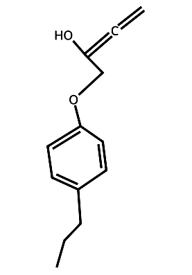 C=C=C(O)COc1ccc(CCC)cc1